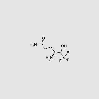 NC(=O)CC[C@H](N)C(O)C(F)(F)F